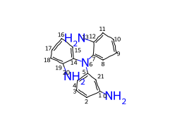 Nc1cccc(N(c2ccccc2N)c2ccccc2N)c1